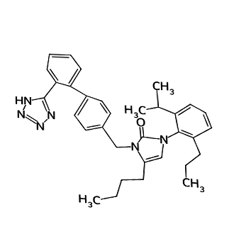 CCCCc1cn(-c2c(CCC)cccc2C(C)C)c(=O)n1Cc1ccc(-c2ccccc2-c2nnn[nH]2)cc1